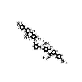 COC1=Nc2cc(OCc3cccc(COc4cc5c(cc4OC)C(=O)N4CCC(c6ccc(OC)cc6)=C[C@H]4C(OC)=N5)c3)c(OC)cc2C(=O)N2CCC(c3ccc(OC)cc3)=C[C@@H]12